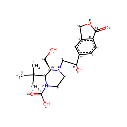 CC(C)(C)C1[C@@H](CO)N(CC(O)c2ccc3c(c2)COC3=O)CCN1C(=O)O